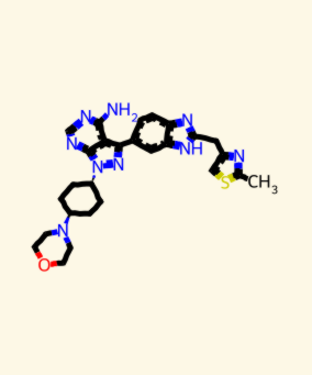 Cc1nc(Cc2nc3ccc(-c4nn([C@H]5CC[C@H](N6CCOCC6)CC5)c5ncnc(N)c45)cc3[nH]2)cs1